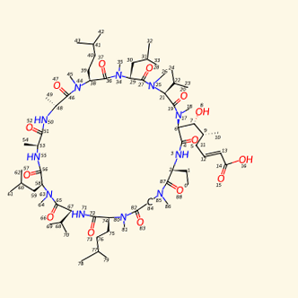 CC[C@@H]1NC(=O)[C@H]([C@H](O)[C@H](C)C/C=C/C(=O)O)N(C)C(=O)[C@H](C(C)C)N(C)C(=O)[C@H](CC(C)C)N(C)C(=O)[C@H](CCC(C)C)N(C)C(=O)[C@@H](C)NC(=O)[C@H](C)NC(=O)[C@H](CC(C)C)N(C)C(=O)[C@H](C(C)C)NC(=O)[C@H](CCC(C)C)N(C)C(=O)CN(C)C1=O